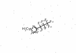 Cn1nnc(C(F)(F)C(F)(F)C(F)(F)F)n1